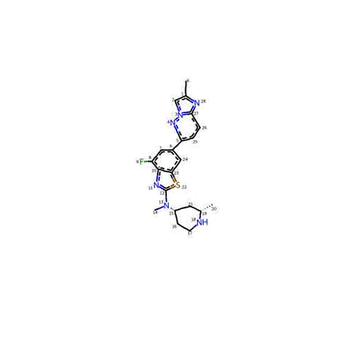 Cc1cn2nc(-c3cc(F)c4nc(N(C)[C@H]5CCN[C@@H](C)C5)sc4c3)ccc2n1